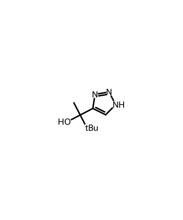 CC(C)(C)C(C)(O)c1c[nH]nn1